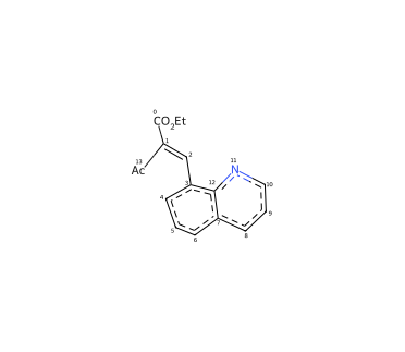 CCOC(=O)C(=Cc1cccc2cccnc12)C(C)=O